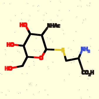 CC(=O)NC1C(SCC(N)C(=O)O)OC(CO)C(O)C1O